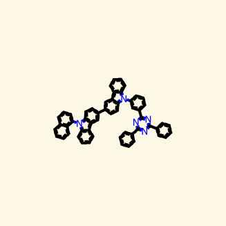 c1ccc(-c2nc(-c3ccccc3)nc(-c3cccc(-n4c5ccccc5c5cc(-c6ccc7c(c6)c6ccccc6n7-c6cccc7ccccc67)ccc54)c3)n2)cc1